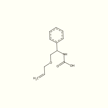 C=CCOCC(NC(=O)O)c1ccccc1